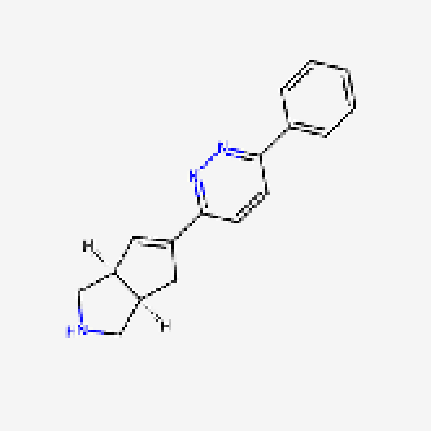 C1=C(c2ccc(-c3ccccc3)nn2)C[C@H]2CNC[C@@H]12